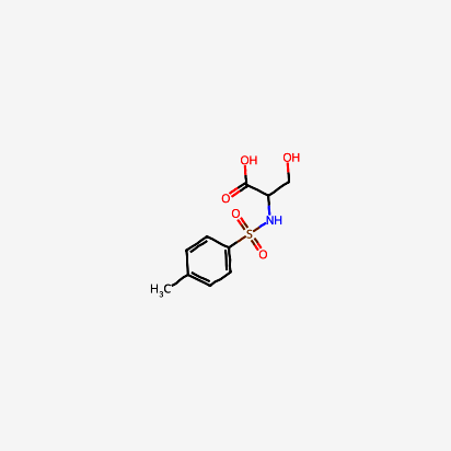 Cc1ccc(S(=O)(=O)NC(CO)C(=O)O)cc1